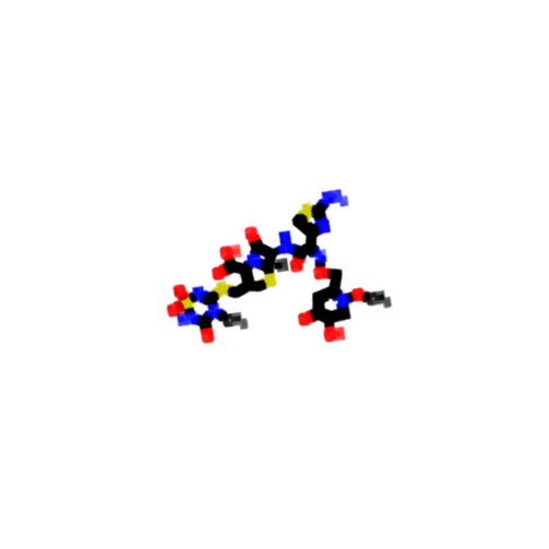 COn1cc(O)c(=O)cc1CO/N=C(\C(=O)N[C@@H]1C(=O)N2C(C(=O)O)=C(CSC3=NS(=O)(=O)NC(=O)N3C)CS[C@H]12)c1csc(N)n1